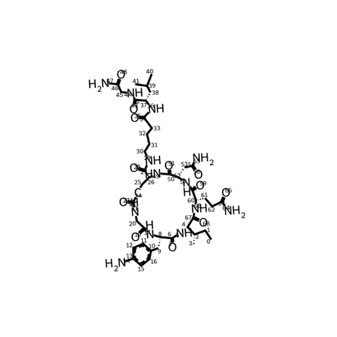 CC[C@H](C)[C@@H]1NC(=O)[C@H](Cc2ccc(N)cc2)NC(=O)CNC(=O)CC[C@@H](C(=O)NCCCCC(=O)N[C@@H](CC(C)C)C(=O)NCC(N)=O)NC(=O)[C@H](CC(N)=O)NC(=O)[C@H](CCC(N)=O)NC1=O